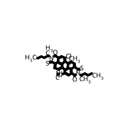 [C-]#[N+]c1cc2c3c(cc(Cl)c4c5c(C)cc6c7c(cc(Cl)c(c1c34)c75)C(=O)N([C@@H](C)CCCC)C6=S)C(=O)N([C@@H](C)CCCC)C2=S